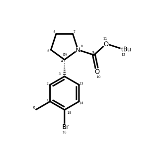 Cc1cc([C@@H]2CCCN2C(=O)OC(C)(C)C)ccc1Br